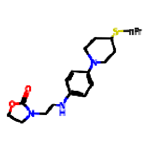 CCCSC1CCN(c2ccc(NCCN3CCOC3=O)cc2)CC1